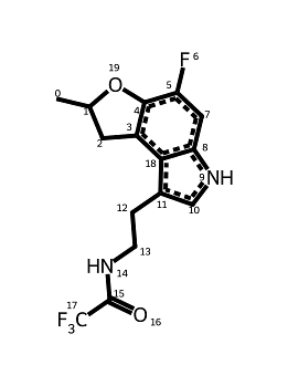 CC1Cc2c(c(F)cc3[nH]cc(CCNC(=O)C(F)(F)F)c23)O1